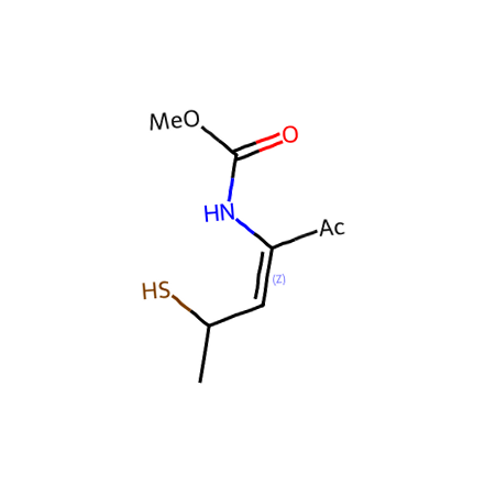 COC(=O)N/C(=C\C(C)S)C(C)=O